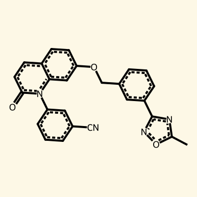 Cc1nc(-c2cccc(COc3ccc4ccc(=O)n(-c5cccc(C#N)c5)c4c3)c2)no1